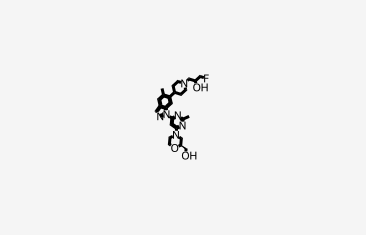 Cc1nc(N2CCO[C@H](CO)C2)cc(-n2ncc3cc(C)c(C4CCN(CC(O)CF)CC4)cc32)n1